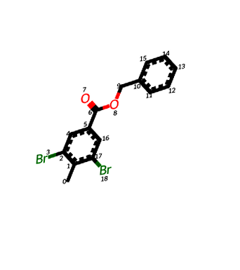 Cc1c(Br)cc(C(=O)OCc2ccccc2)cc1Br